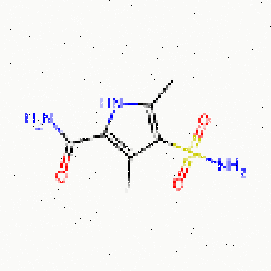 Cc1[nH]c(C(N)=O)c(C)c1S(N)(=O)=O